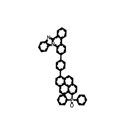 O=P(c1ccccc1)(c1ccccc1)c1ccc2ccc3c(-c4ccc(-c5ccc6c7ccccc7c7nc8ccccc8n7c6c5)cc4)ccc4ccc1c2c43